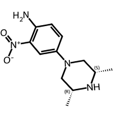 C[C@@H]1CN(c2ccc(N)c([N+](=O)[O-])c2)C[C@H](C)N1